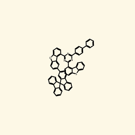 c1ccc(-c2ccc(-c3nc(-c4cccc5oc6ccc(-c7ccc8c(c7)C7(c9ccccc9-c9ccccc97)c7ccccc7-8)cc6c45)nc(-c4cccc5sc6ccccc6c45)n3)cc2)cc1